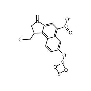 O=[N+]([O-])c1cc2c(c3ccc(ON4OSO4)cc13)C(CCl)CN2